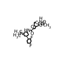 CN(C)c1cc(NC(=O)c2cc3cc(NS(C)(=O)=O)ccc3o2)cc(-c2ccc(F)cc2F)c1